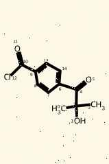 CC(C)(O)C(=O)c1ccc(C(=O)Cl)cc1